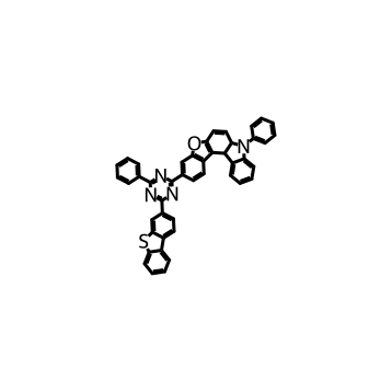 C1=CC2C(c3ccccc3N2c2ccccc2)c2c1oc1cc(-c3nc(-c4ccccc4)nc(-c4ccc5c(c4)sc4ccccc45)n3)ccc21